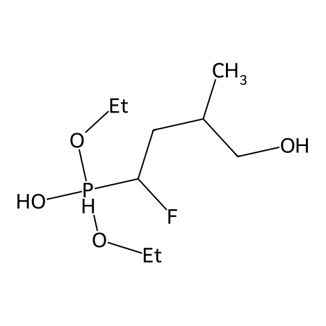 CCO[PH](O)(OCC)C(F)CC(C)CO